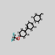 CC1CCC([C@H]2CC=C(C3CCC(OC(F)F)CC3)CC2)CC1